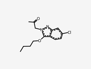 CCCCOc1c2ccc(Cl)cc2nn1CC(C)=O